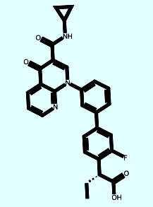 CC[C@@H](C(=O)O)c1ccc(-c2cccc(-n3cc(C(=O)NC4CC4)c(=O)c4cccnc43)c2)cc1F